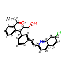 COC(=O)c1ccccc1C(CCO)c1cccc(C=Cc2ccc3ccc(Cl)cc3n2)c1